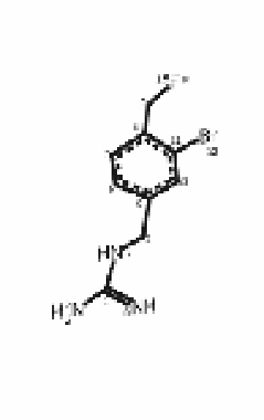 N=C(N)NCc1ccc(C[18F])c(Br)c1